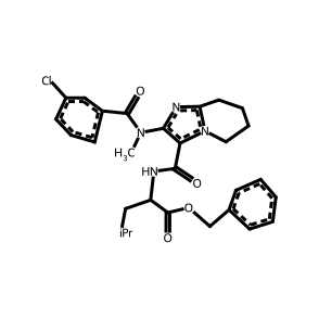 CC(C)CC(NC(=O)c1c(N(C)C(=O)c2cccc(Cl)c2)nc2n1CCCC2)C(=O)OCc1ccccc1